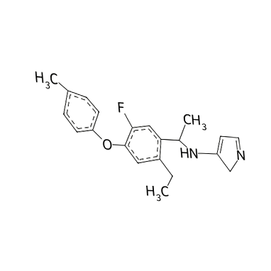 CCc1cc(Oc2ccc(C)cc2)c(F)cc1C(C)NC1=CC=NC1